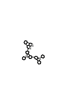 c1ccc(-n2c3ccccc3c3cc(-c4ccc5c(c4)c4cc(-c6cc7c8c(ccnc8n6)-c6ccccc6-7)ccc4n5-c4ccccc4)ccc32)cc1